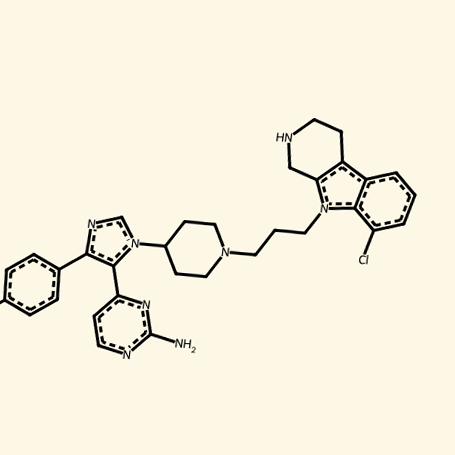 Nc1nccc(-c2c(-c3ccc(F)cc3)ncn2C2CCN(CCCn3c4c(c5cccc(Cl)c53)CCNC4)CC2)n1